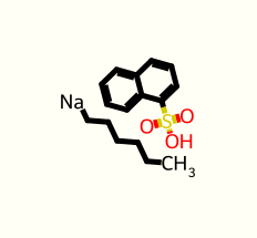 CCCCC[CH2][Na].O=S(=O)(O)c1cccc2ccccc12